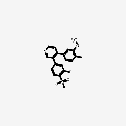 Cc1ccc(-c2ccncc2-c2ccc(S(C)(=O)=O)c(F)c2)cc1OC(F)(F)F